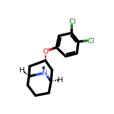 CN1[C@@H]2CCC[C@H]1C[C@H](Oc1ccc(Cl)c(Cl)c1)C2